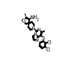 Cc1nc(N2CCC3(CC2)CO[C@@H](C)[C@H]3N)n2ccnc2c1Sc1cccc(Cl)c1Cl